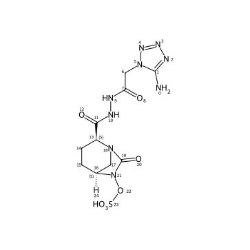 Nc1nnnn1CC(=O)NNC(=O)[C@@H]1CC[C@H]2CN1C(=O)N2OS(=O)(=O)O